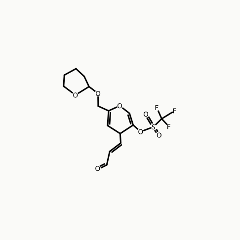 O=CC=CC1C=C(COC2CCCCO2)OC=C1OS(=O)(=O)C(F)(F)F